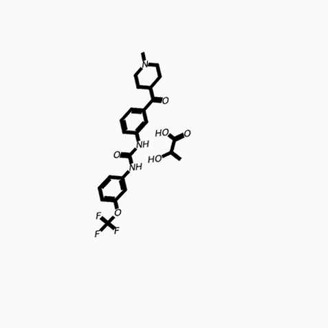 CC(O)C(=O)O.CN1CCC(C(=O)c2cccc(NC(=O)Nc3cccc(OC(F)(F)F)c3)c2)CC1